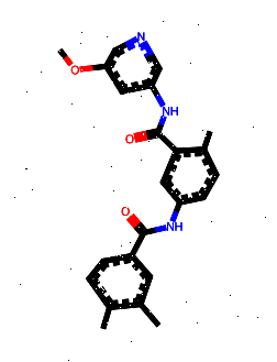 COc1cncc(NC(=O)c2cc(NC(=O)c3ccc(C)c(C)c3)ccc2C)c1